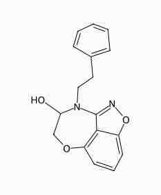 OC1COc2cccc3onc(c23)N1CCc1ccccc1